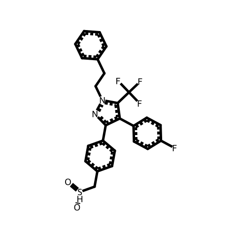 O=[SH](=O)Cc1ccc(-c2nn(CCc3ccccc3)c(C(F)(F)F)c2-c2ccc(F)cc2)cc1